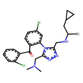 CCC(CC1CC1)NCc1nnc(CN(C)C)n1-c1cc(Br)ccc1C(=O)c1ccccc1Cl